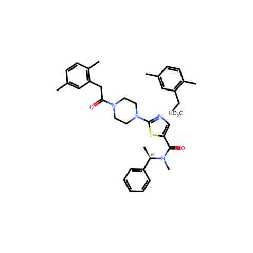 Cc1ccc(C)c(CC(=O)N2CCN(c3ncc(C(=O)N(C)[C@H](C)c4ccccc4)s3)CC2)c1.Cc1ccc(C)c(CC(=O)O)c1